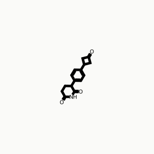 O=C1CC(c2ccc(C3CCC(=O)NC3=O)cc2)C1